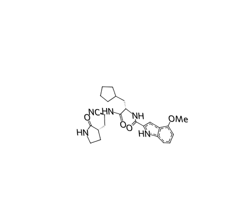 COc1cccc2[nH]c(C(=O)N[C@@H](CC3CCCC3)C(=O)N[C@H](C#N)C[C@@H]3CCNC3=O)cc12